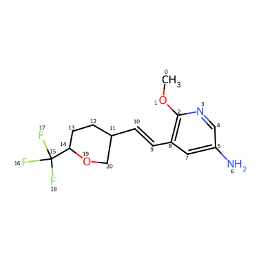 COc1ncc(N)cc1C=CC1CCC(C(F)(F)F)OC1